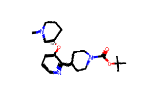 CN1CCC[C@H](Oc2cccnc2C2CCN(C(=O)OC(C)(C)C)CC2)C1